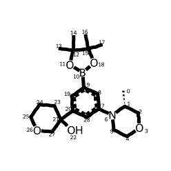 C[C@@H]1COCCN1c1cc(B2OC(C)(C)C(C)(C)O2)cc(C2(O)CCCOC2)c1